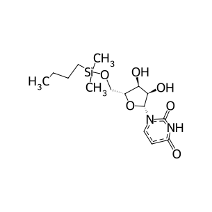 CCCC[Si](C)(C)OC[C@H]1O[C@@H](n2ccc(=O)[nH]c2=O)[C@H](O)[C@@H]1O